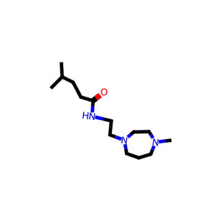 CC(C)CCC(=O)NCCN1CCCN(C)CC1